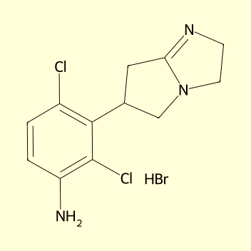 Br.Nc1ccc(Cl)c(C2CC3=NCCN3C2)c1Cl